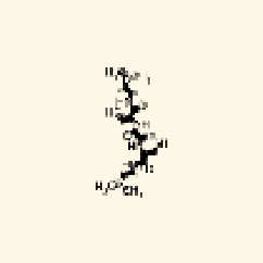 CN(C)CCNC(=O)C(CS)NC(=O)C(=O)NC(CS)C(=O)NCCN(C)C